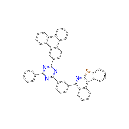 c1ccc(-c2nc(-c3cccc(-c4nc5sc6ccccc6c5c5ccccc45)c3)nc(-c3ccc4c5ccccc5c5ccccc5c4c3)n2)cc1